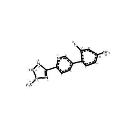 CN1N=C(c2ccc(-c3ccc(N)cc3F)cn2)NN1